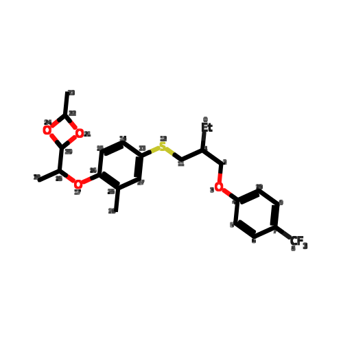 CCC(COc1ccc(C(F)(F)F)cc1)CSc1ccc(OC(C)C2OC(C)O2)c(C)c1